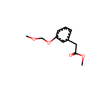 COCOc1cccc(CC(=O)OC)c1